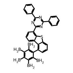 Bc1c(B)c(B)c(-c2cccc3sc4c(-c5nc(-c6ccccc6)nc(-c6ccccc6)n5)cccc4c23)c(B)c1B